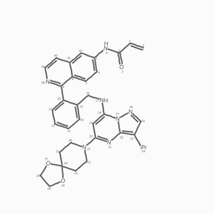 C=CC(=O)Nc1ccc2c(-c3ccccc3CNc3cc(N4CCC5(CC4)OCCO5)nc4c(C(C)C)cnn34)nccc2c1